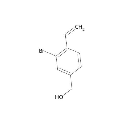 C=Cc1ccc(CO)cc1Br